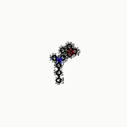 c1ccc(-c2ccc(-c3ccc(N(c4ccccc4)c4ccc(-c5ccccc5-c5ccccc5-c5cccc6c5oc5ccccc56)cc4)cc3)cc2)cc1